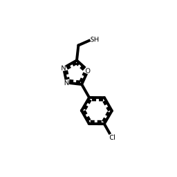 SCc1nnc(-c2ccc(Cl)cc2)o1